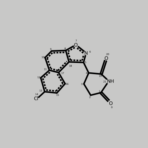 O=C1CCC(c2noc3ccc4cc(Cl)ccc4c23)C(=O)N1